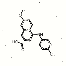 COc1ccc2c(Nc3ccc(Cl)nc3)nccc2c1.O=CO